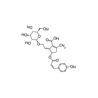 CC1=C(C(=O)O)/C(=C\CO[C@@H]2O[C@H](CO)[C@@H](O)[C@H](O)[C@H]2O)C(OC(=O)/C=C\c2ccc(O)cc2)C1